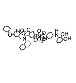 O=C(O)c1cc(C(=O)N(Cc2cccc(Oc3ccccc3)c2)[C@H]2CCCc3ccccc32)c(C(=O)O)cc1C(=O)NS(=O)(=O)c1ccc(Nc2cccc(O)c2O)cc1